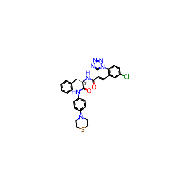 O=C(C=Cc1cc(Cl)ccc1-n1cnnn1)N[C@@H](Cc1ccccc1)C(=O)Nc1ccc(N2CCSCC2)cc1